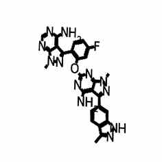 Cc1n[nH]c2cc(-c3nn(C)c4nc(Oc5cc(F)ccc5-c5nn(C)c6ncnc(N)c56)nc(N)c34)ccc12